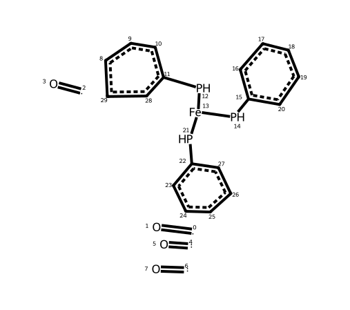 [C]=O.[C]=O.[C]=O.[C]=O.c1ccc([PH][Fe]([PH]c2ccccc2)[PH]c2ccccc2)cc1